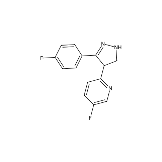 Fc1ccc(C2=NNCC2c2ccc(F)cn2)cc1